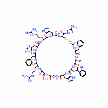 CC(C)C1NC(=O)C(Cc2ccccc2)NC(=O)CSCC(C(=O)NCC(N)=O)NC(=O)C(Cc2c[nH]cn2)NC(=O)C(CCCNC(=N)N)NC(=O)C(Cc2c[nH]cn2)NC(=O)C(Cc2ccccc2)NC(=O)C(CCCNC(=N)N)NC(=O)C(CO)NC(=O)CNC(=O)C(Cc2c[nH]cn2)NC(=O)C(Cc2c[nH]c3ccccc23)NC1=O